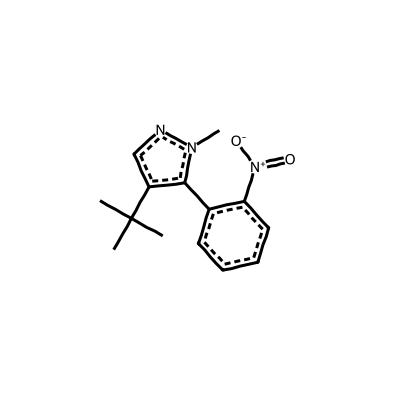 Cn1ncc(C(C)(C)C)c1-c1ccccc1[N+](=O)[O-]